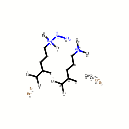 CCC(CC)C(C)CCC[15N+](CC)(CC)NN.CCC(CC)C(C)CCC[15N](CC)CC.[Br-].[Br-].[Br-].[Br-].[Cu+2].[Cu+2]